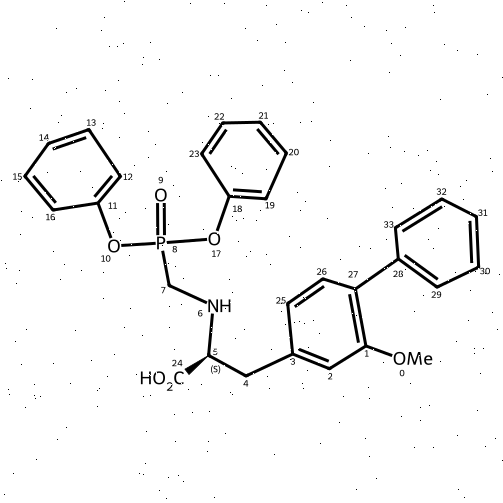 COc1cc(C[C@H](NCP(=O)(Oc2ccccc2)Oc2ccccc2)C(=O)O)ccc1-c1ccccc1